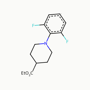 CCOC(=O)C1CCN(c2c(F)c[c]cc2F)CC1